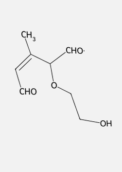 CC(=CC=O)C([C]=O)OCCO